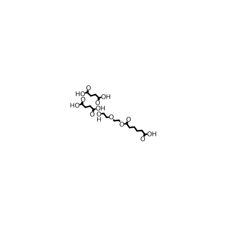 O=C(O)CCC(=O)O.O=C(O)CCC(=O)O.O=C(O)CCCCC(=O)OCCOCCO